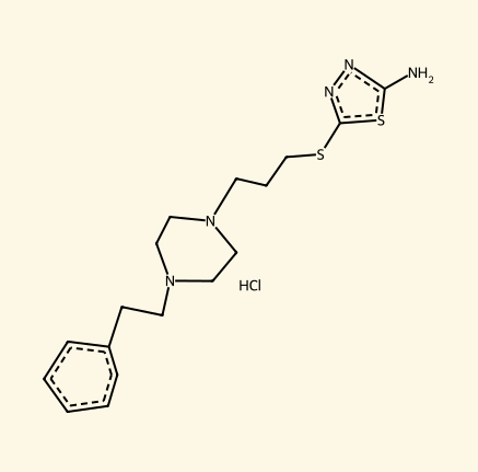 Cl.Nc1nnc(SCCCN2CCN(CCc3ccccc3)CC2)s1